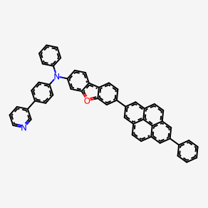 c1ccc(-c2cc3ccc4cc(-c5ccc6c(c5)oc5cc(N(c7ccccc7)c7ccc(-c8cccnc8)cc7)ccc56)cc5ccc(c2)c3c45)cc1